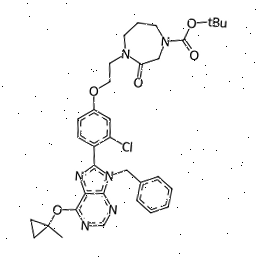 CC(C)(C)OC(=O)N1CCCN(CCOc2ccc(-c3nc4c(OC5(C)CC5)ncnc4n3Cc3ccccc3)c(Cl)c2)C(=O)C1